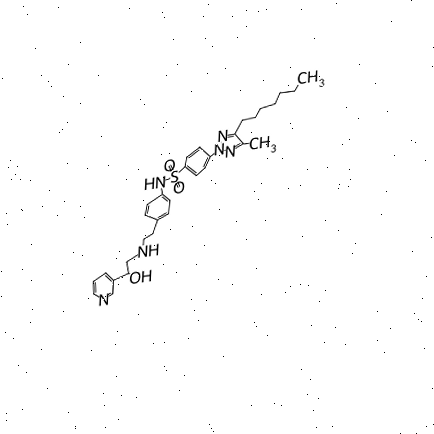 CCCCCCCc1nn(-c2ccc(S(=O)(=O)Nc3ccc(CCNCC(O)c4cccnc4)cc3)cc2)nc1C